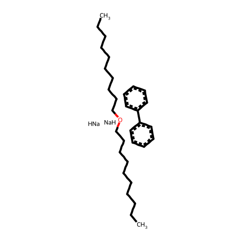 CCCCCCCCCCOCCCCCCCCCC.[NaH].[NaH].c1ccc(-c2ccccc2)cc1